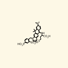 C[N+](C)=C1C=CC2=C(NC(CCS(=O)(=O)O)C(=O)O)c3cc4c(cc3C(C)(C)C2=C1)N(Cc1ccc(S(=O)(=O)O)cc1S(=O)(=O)O)CCC4